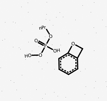 CCCOP(=O)(O)OO.c1ccc2c(c1)CO2